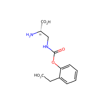 N[C@@H](CNC(=O)Oc1ccccc1CC(=O)O)C(=O)O